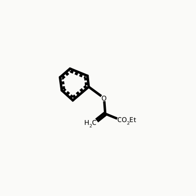 C=C(Oc1ccccc1)C(=O)OCC